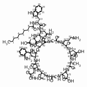 CCCCCCCCCC(=O)N[C@@H](Cc1c[nH]c2ccccc12)C(=O)N[C@@H](CC(N)=O)C(=O)N[C@@H](CC(=O)O)C(=O)N[C@@H]1C(=O)NCC(=O)N[C@@H](CCCN)C(=O)N[C@@H](CC(=O)O)C(=O)N[C@H](C)C(=O)N[C@@H](CC(=O)O)C(=O)NCC(=O)N[C@H](CO)C(=O)NC([C@@H](C)CC(=O)O)C(=O)N[C@@H](CC(=O)c2ccccc2N)C(=O)O[C@@H]1C